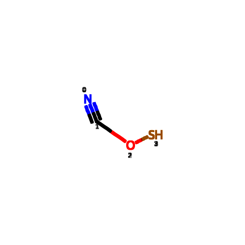 N#COS